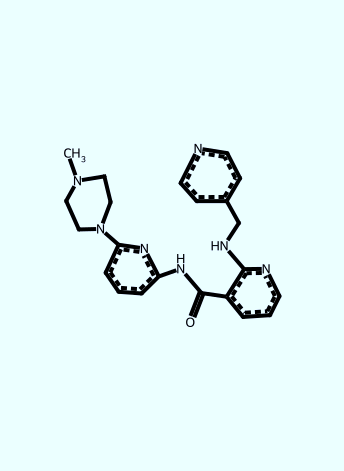 CN1CCN(c2cccc(NC(=O)c3cccnc3NCc3ccncc3)n2)CC1